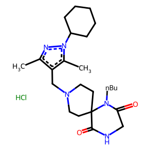 CCCCN1C(=O)CNC(=O)C12CCN(Cc1c(C)nn(C3CCCCC3)c1C)CC2.Cl